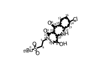 CCCCS(=O)(=O)CCn1nc(O)c2[nH]c3cc(Cl)ccc3c(=O)c2c1=O